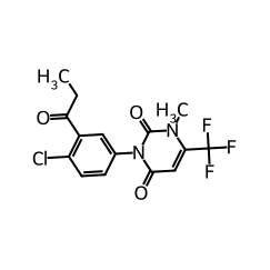 CCC(=O)c1cc(-n2c(=O)cc(C(F)(F)F)n(C)c2=O)ccc1Cl